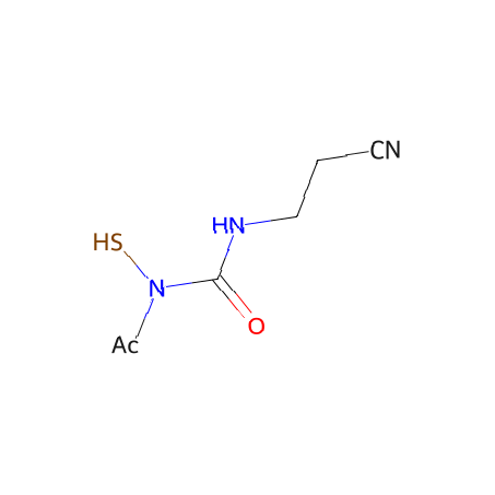 CC(=O)N(S)C(=O)NCCC#N